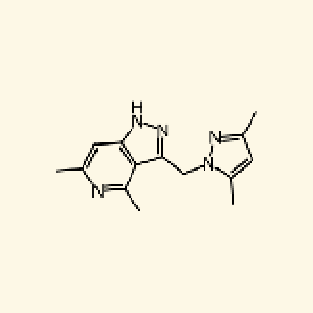 Cc1cc2[nH]nc(Cn3nc(C)cc3C)c2c(C)n1